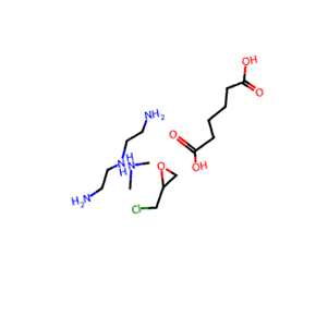 CNC.ClCC1CO1.NCCNCCN.O=C(O)CCCCC(=O)O